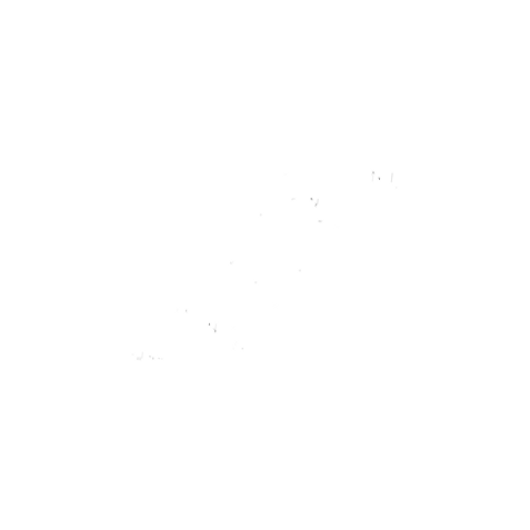 CCCCCCCCCCCCN1C(=O)c2ccc3c4ccc5c6c(ccc(c7ccc(c2c37)C1=O)c64)C(=O)N(CCCN)C5=O